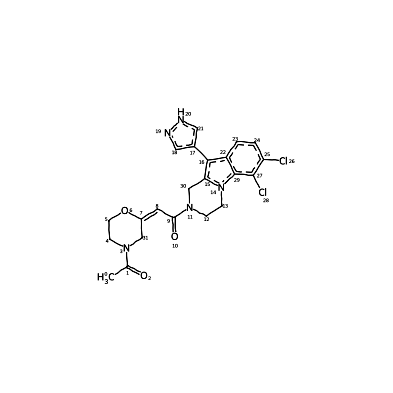 CC(=O)N1CCOC(=CC(=O)N2CCn3c(c(-c4cn[nH]c4)c4ccc(Cl)c(Cl)c43)C2)C1